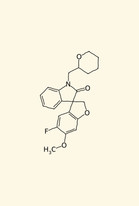 COc1cc2c(cc1F)C1(CO2)C(=O)N(CC2CCCCO2)c2ccccc21